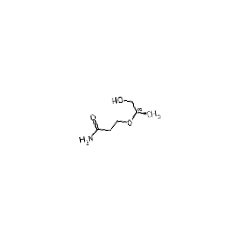 C[C@H](CO)OCCC(N)=O